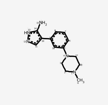 CN1CCN(c2cccc(-c3cn[nH]c3N)c2)CC1